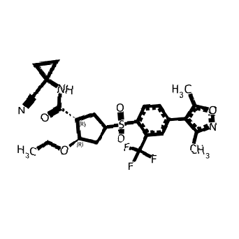 CCO[C@@H]1CC(S(=O)(=O)c2ccc(-c3c(C)noc3C)cc2C(F)(F)F)C[C@H]1C(=O)NC1(C#N)CC1